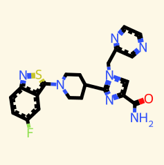 NC(=O)c1cn(Cc2cnccn2)c(C2CCN(c3snc4ccc(F)cc34)CC2)n1